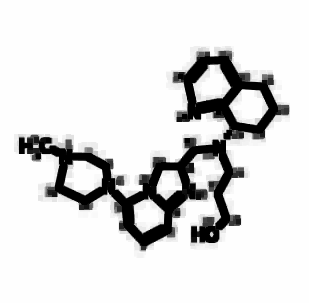 CN1CCN(C2=CC=CC3=NC(CN(CCCO)[C@H]4CCCc5cccnc54)CN23)CC1